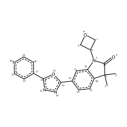 CC1(C)C(=O)N(C2COC2)c2cc(-c3nnc(-c4ccncc4)o3)ccc21